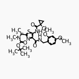 COc1ccc(CNC(=O)c2nc([C@@H](C)N(C)C(=O)OC(C)(C)C)sc2NC(=O)C2(Cl)CC2)c(OC)c1